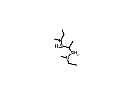 CCN(C)[SiH2]C(C)[SiH2]N(C)CC